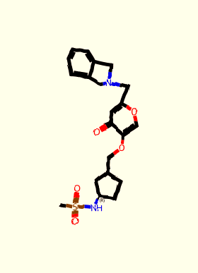 CS(=O)(=O)N[C@@H]1CCC(COc2coc(CN3Cc4ccccc4C3)cc2=O)C1